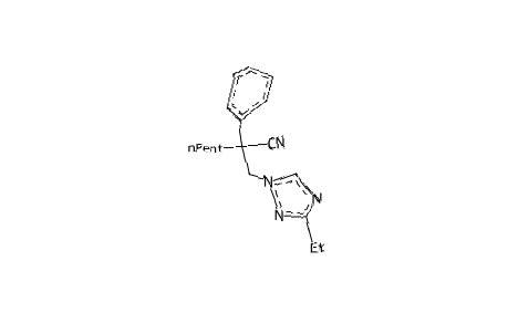 CCCCCC(C#N)(Cn1cnc(CC)n1)c1ccccc1